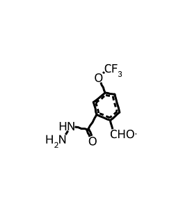 NNC(=O)c1cc(OC(F)(F)F)ccc1[C]=O